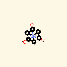 COc1cccc(-c2ccccc2-c2nc(-c3ccccc3-c3cccc(OC)c3)nc(-c3ccccc3-c3cccc(OC)c3)n2)c1